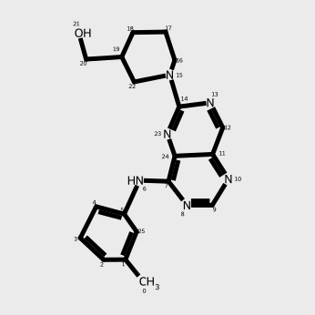 Cc1cccc(Nc2ncnc3cnc(N4CCCC(CO)C4)nc23)c1